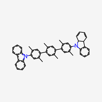 Cc1cc(-c2cc(C)c(-n3c4ccccc4c4ccccc43)cc2C)c(C)cc1-c1cc(C)c(N2c3ccccc3C3C=CC=CC32)cc1C